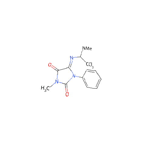 CNC(/N=C1/C(=O)N(C)C(=O)N1c1ccccc1)C(Cl)(Cl)Cl